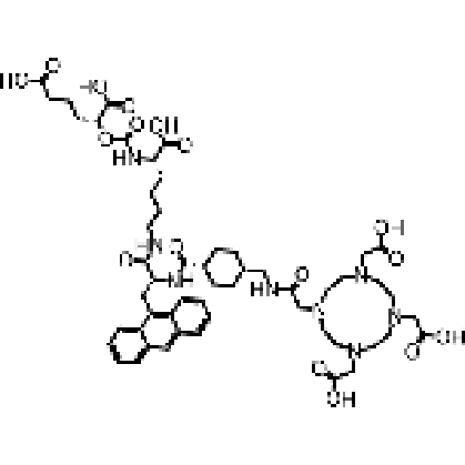 O=C(O)CCC[C@@H](OC(=O)N[C@@H](CCCCNC(=O)[C@H](Cc1c2ccccc2cc2ccccc12)NC(=O)[C@H]1CC[C@H](CNC(=O)CN2CCN(CC(=O)O)CCN(CC(=O)O)CCN(CC(=O)O)CC2)CC1)C(=O)O)C(=O)O